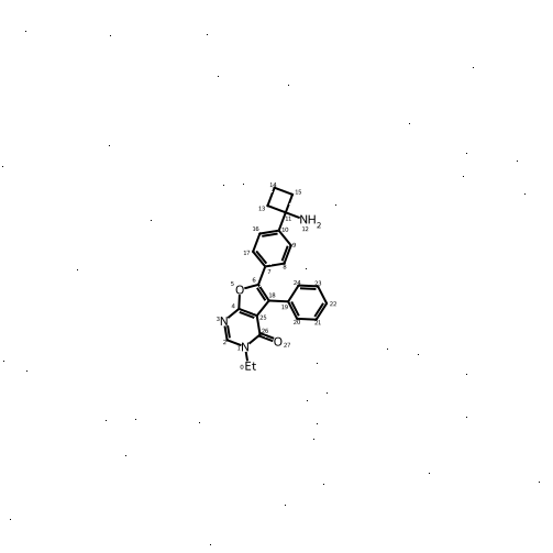 CCn1cnc2oc(-c3ccc(C4(N)CCC4)cc3)c(-c3ccccc3)c2c1=O